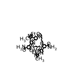 CCn1nc(C)cc1-c1ncc2c3cc(C(N)=O)cc(OCCCN4CCOCC4)c3n(C/C=C/Cn3c4nc(-c5ccccc5-c5cc(C)nn5CC)ncc4c4cc(C(N)=O)cc(OC)c43)c2n1